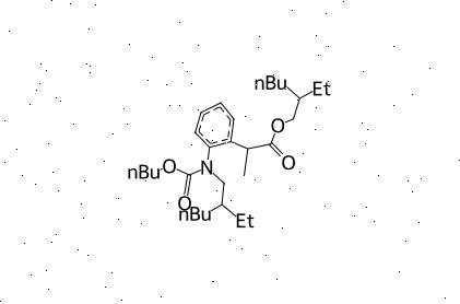 CCCCOC(=O)N(CC(CC)CCCC)c1ccccc1C(C)C(=O)OCC(CC)CCCC